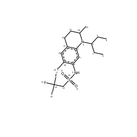 CCC(CC)N1c2cc(NS(=O)(=O)CC(F)(F)F)c(I)cc2CCC1C